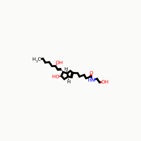 CCCCC[C@H](O)/C=C/[C@@H]1[C@H]2CC(CCCCC(=O)NCCO)=C[C@H]2C[C@H]1O